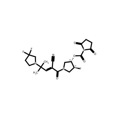 CC(C)(C=C(C#N)C(=O)N1C[C@H](OC(=O)N2C(=O)CCC2=O)[C@@H](F)C1)N1CCC(F)(F)C1